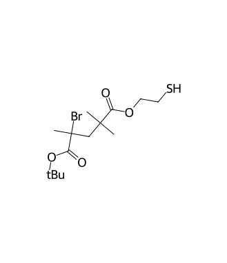 CC(C)(C)OC(=O)C(C)(Br)CC(C)(C)C(=O)OCCS